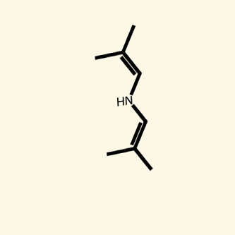 CC(C)=CNC=C(C)C